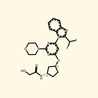 O=C(CO)N[C@H]1CC[C@H](Oc2cc(-n3c(C(F)F)nc4ccccc43)nc(N3CCOCC3)n2)C1